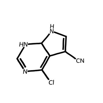 N#CC1=CNC2NC=NC(Cl)=C12